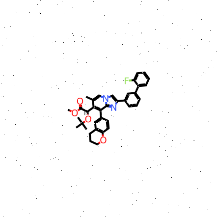 COC(=O)[C@@H](OC(C)(C)C)c1c(C)cn2cc(-c3cccc(-c4ccccc4F)c3)nc2c1-c1ccc2c(c1)CCCO2